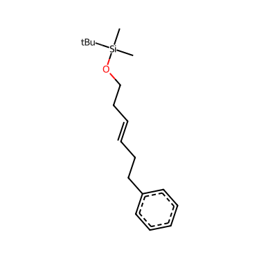 CC(C)(C)[Si](C)(C)OCCC=CCCc1ccccc1